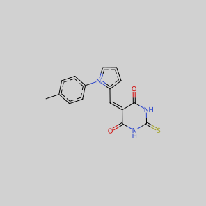 Cc1ccc(-n2cccc2C=C2C(=O)NC(=S)NC2=O)cc1